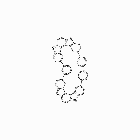 c1ccc(-c2ccc3sc4ccc5sc6ccc(-c7cccc(-c8ccc9sc%10ccc%11sc%12ccc(-c%13ccccc%13)cc%12c%11c%10c9c8)c7)cc6c5c4c3c2)cc1